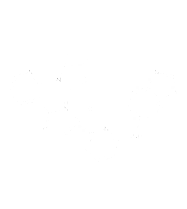 CC1CCN(c2ncccc2C(=O)NS(=O)(=O)c2cccc(Nc3ccc4ncsc4c3)n2)C1(C)C